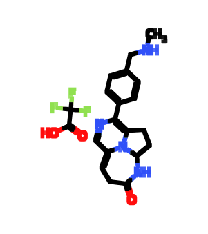 CNCc1ccc(C2=C3CCC4NC(=O)CC=C(C=N2)N34)cc1.O=C(O)C(F)(F)F